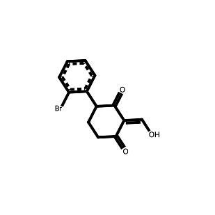 O=C1CCC(c2ccccc2Br)C(=O)C1=CO